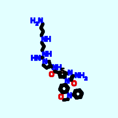 N=C(NCCCNCCCCN)N1CC[C@@H](NC(=O)c2cc3c(nc(N)c(=O)n3-c3ccc4c(c3)N(c3ccccc3)CCO4)s2)C1